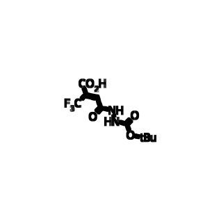 CC(C)(C)OC(=O)NNC(=O)C=C(C(=O)O)C(F)(F)F